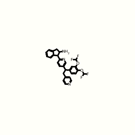 NC1Cc2ccccc2C1c1ccc(C(Cc2ccncc2)c2ccc(OC(F)F)c(OC(F)F)c2)cn1